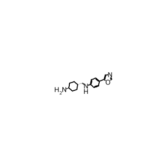 N[C@H]1CC[C@H](CNc2ccc(-c3cnco3)cc2)CC1